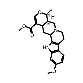 COC(=O)C1=CO[C@@H](C)[C@H]2CN3CCc4c([nH]c5cc(OC)ccc45)C3CC12